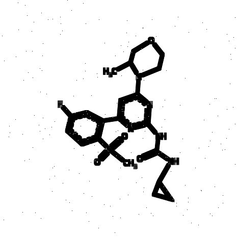 CC1COCCN1c1cc(-c2cc(F)ccc2S(C)(=O)=O)nc(NC(=O)NC2CC2)n1